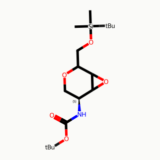 CC(C)(C)OC(=O)N[C@H]1COC(CO[Si](C)(C)C(C)(C)C)C2OC21